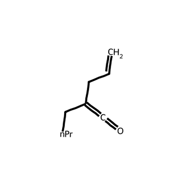 C=CCC(=C=O)CCCC